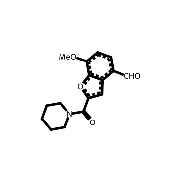 COc1ccc(C=O)c2cc(C(=O)N3CCCCC3)oc12